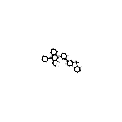 CC1(C)c2ccccc2-c2ccc(-c3cccc(-c4c5ccccc5c(-c5ccccc5)c5ccncc45)c3)cc21